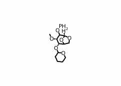 CO[C@H]1C(OP)[C@@H]2OCC(O2)[C@H]1OC1CCCCO1